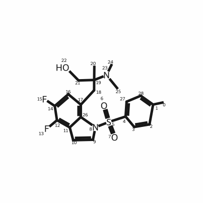 Cc1ccc(S(=O)(=O)n2ccc3c(F)c(F)cc(CC(C)(CO)N(C)C)c32)cc1